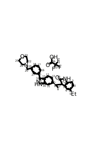 CCc1ccc2c(c1)[C@]1(C[C@H]1c1ccc3c(-c4cccc(CN5CCOCC5)c4)n[nH]c3c1)C(=O)N2.O=C(O)C(F)(F)F